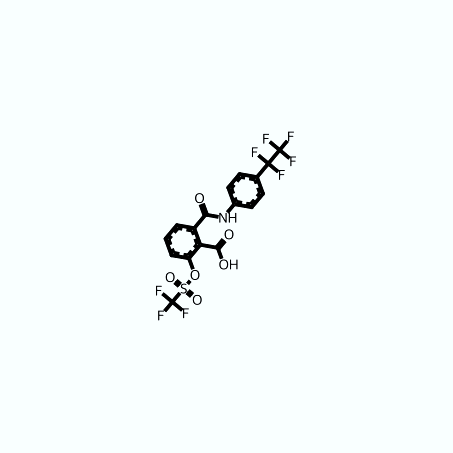 O=C(Nc1ccc(C(F)(F)C(F)(F)F)cc1)c1cccc(OS(=O)(=O)C(F)(F)F)c1C(=O)O